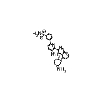 Nc1ccc(-c2cccc(S(N)(=O)=O)c2)nc1-c1cc2c(N3CCC[C@H](N)C3)ccnc2cn1